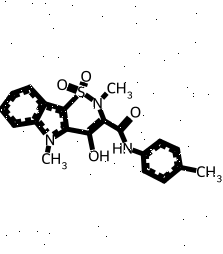 Cc1ccc(NC(=O)C2=C(O)c3c(c4ccccc4n3C)S(=O)(=O)N2C)cc1